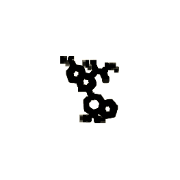 Cc1ccc2nc(N3CCS(O)(O)c4ccccc4C3)cc(C(N)C(N)=O)c2c1